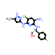 Cc1cc(Nc2nc(N[C@@H](CO)c3ccc(F)cc3)c(N)cc2Cl)n[nH]1